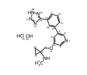 CNC1(COc2cncc(-c3cccc(-c4nn[nH]n4)c3)c2)CC1.Cl.Cl